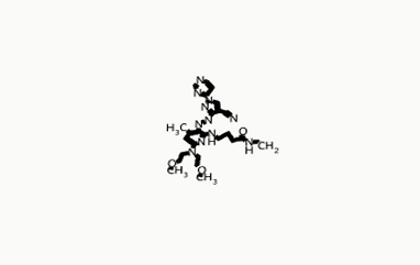 C=CNC(=O)CCCNc1nc(N(CCOC)CCOC)cc(C)c1N=Nc1nn(-c2ccncn2)cc1C#N